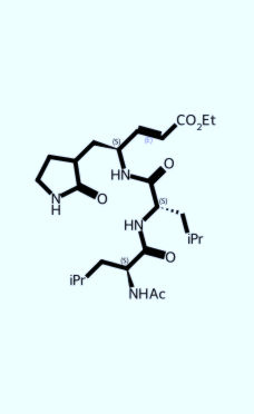 CCOC(=O)/C=C/[C@H](CC1CCNC1=O)NC(=O)[C@H](CC(C)C)NC(=O)[C@H](CC(C)C)NC(C)=O